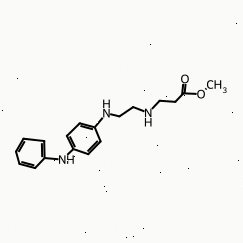 COC(=O)CCNCCNc1ccc(Nc2ccccc2)cc1